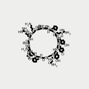 CC[C@H](C)[C@@H]1NC(=O)[C@H]([C@@H](C)O)NC(=O)[C@H](Cc2cncn2C)NC(=O)[C@H](Cc2ccccc2)NC(=O)CSC[C@@H](C(=O)NCC(N)=O)NC(=O)[C@H](Cc2ccc(O)cc2)NC(=O)[C@H](Cc2ccc(Cl)cc2)NC(=O)[C@H](Cc2ccc(O)cc2)NC(=O)[C@H](CCCNC(=N)N)NC(=O)[C@H](Cc2ccccc2)NC(=O)C(C)(C)NC(=O)[C@H](CO)NC(=O)[C@H](CCCCN)NC(=O)[C@H](CCCNC(=N)N)NC1=O